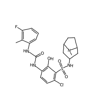 Cc1c(F)cccc1NC(=O)Nc1ccc(Cl)c(S(=O)(=O)NC2CC3CCC(C2)N3C)c1O